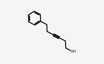 OCCC#CCCc1ccccc1